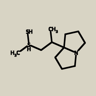 CC(C[SH](C)S)C12CCCN1CCC2